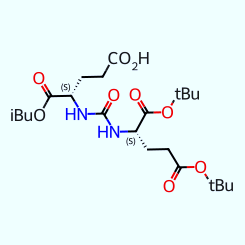 CC(C)COC(=O)[C@H](CCC(=O)O)NC(=O)N[C@@H](CCC(=O)OC(C)(C)C)C(=O)OC(C)(C)C